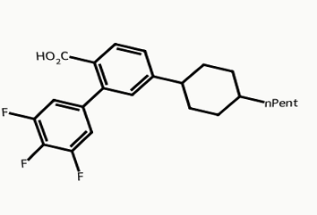 CCCCCC1CCC(c2ccc(C(=O)O)c(-c3cc(F)c(F)c(F)c3)c2)CC1